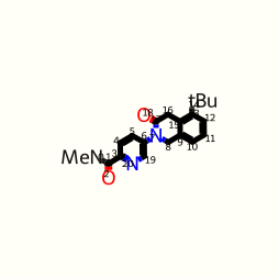 CNC(=O)c1ccc(N2Cc3cccc(C(C)(C)C)c3CC2=O)cn1